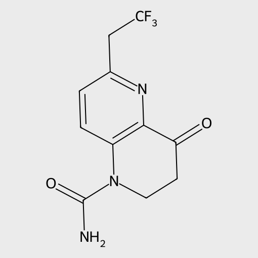 NC(=O)N1CCC(=O)c2nc(CC(F)(F)F)ccc21